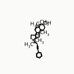 C[C@H](CC#Cc1ccccc1)[C@H]1CCC2=C3C=C[C@H]4C(C)(C)[C@@H](O)CC[C@]4(C)[C@H]3CC[C@@]21C